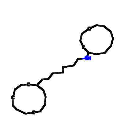 C1CCCCCCC(CCCCCCCNC2CCCCCCCCCCC2)CCCCC1